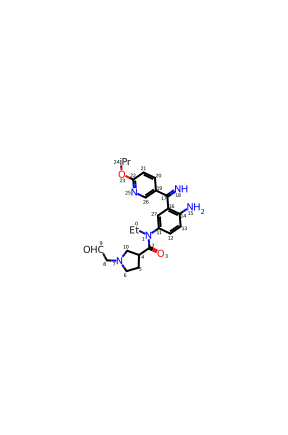 CCN(C(=O)C1CCN(CC=O)C1)c1ccc(N)c(C(=N)c2ccc(OC(C)C)nc2)c1